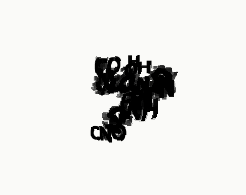 N#CCC(=O)N1CCC[C@@H](Nc2nc(-c3cnn4ccccc34)nc(-c3cc(O)cc(CN4CCCN(C(=O)O)CC4)c3)c2F)C1